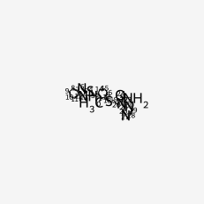 Cc1c(CSc2nc3ccccc3[nH]2)cccc1SCCN(C(N)=O)c1cnccn1